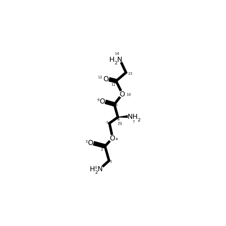 NCC(=O)OC[C@H](N)C(=O)OC(=O)CN